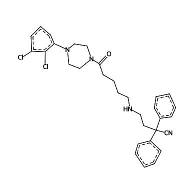 N#CC(CCNCCCCC(=O)N1CCN(c2cccc(Cl)c2Cl)CC1)(c1ccccc1)c1ccccc1